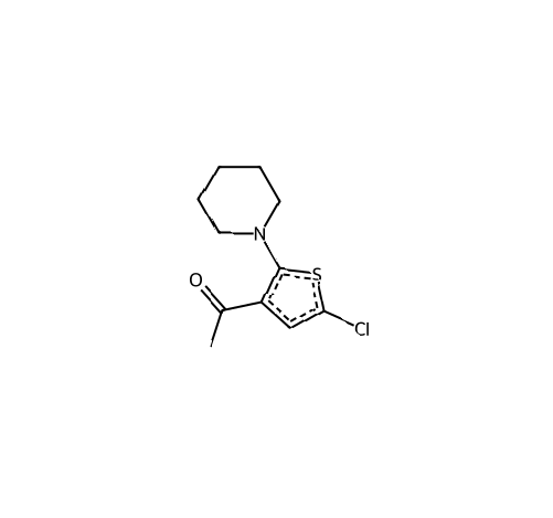 CC(=O)c1cc(Cl)sc1N1CCCCC1